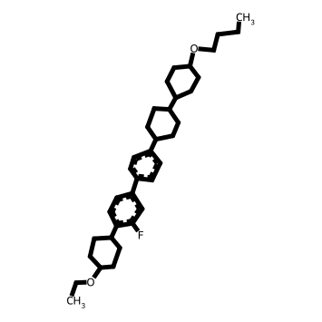 CCCCOC1CCC(C2CCC(c3ccc(-c4ccc(C5CCC(OCC)CC5)c(F)c4)cc3)CC2)CC1